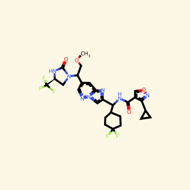 COCC(c1cnn2cc(C(NC(=O)c3conc3C3CC3)C3CCC(F)(F)CC3)nc2c1)N1C[C@@H](C(F)(F)F)NC1=O